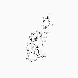 C[C@]12CC[C@H]3[C@@H](CC=C4CCCC(O)[C@@]43C)[C@@H]1CC=C2Cn1ccnc1